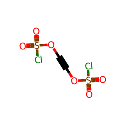 O=S(=O)(Cl)OC#COS(=O)(=O)Cl